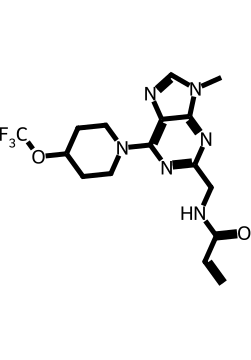 C=CC(=O)NCc1nc(N2CCC(OC(F)(F)F)CC2)c2ncn(C)c2n1